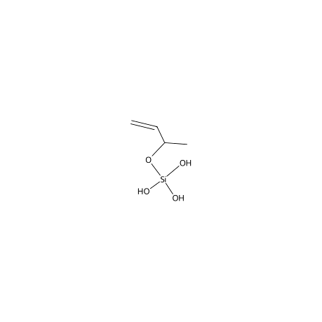 C=CC(C)O[Si](O)(O)O